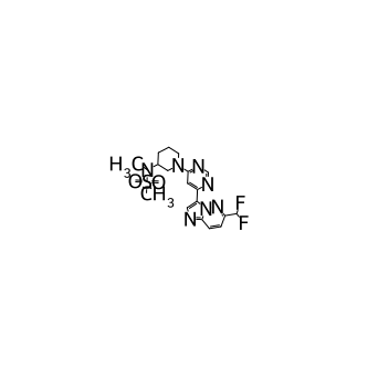 CN(C1CCCN(c2cc(-c3cnc4ccc(C(F)F)nn34)ncn2)C1)S(C)(=O)=O